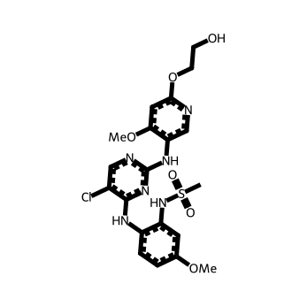 COc1ccc(Nc2nc(Nc3cnc(OCCO)cc3OC)ncc2Cl)c(NS(C)(=O)=O)c1